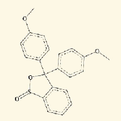 COc1ccc(C2(c3ccc(OC)cc3)OS(=O)c3ccccc32)cc1